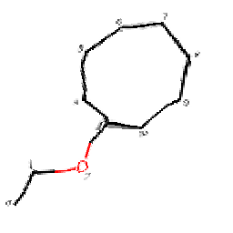 CCOC1CC[CH]CCCC1